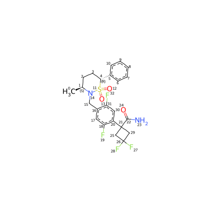 C[C@H]1CC[C@H](c2ccccc2)S(=O)(=O)N1Cc1cc(F)c(C2(C(N)=O)CC(F)(F)C2)cc1F